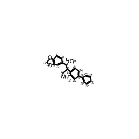 Cl.NCC(Cc1ccc2c(c1)OCO2)c1ccc(-c2ccccc2)cc1